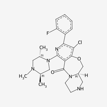 C[C@@H]1CN(c2nc(-c3ccccc3F)c(Cl)c3c2C(=O)N2CCNC[C@@H]2CO3)[C@@H](C)CN1C